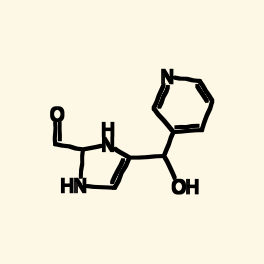 O=CC1NC=C(C(O)c2cccnc2)N1